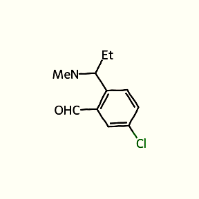 CCC(NC)c1ccc(Cl)cc1C=O